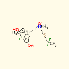 C[C@]12C[C@H](F)[C@@H]3c4ccc(O)cc4C[C@@H](CCCCC[N+](C)([O-])CCCSCCCC(F)(F)C(F)(F)F)[C@H]3[C@@H]1CC[C@@H]2O